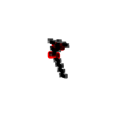 CCCCCCCCOC(=O)C(C)=C[Si](C)(OCC)OCC